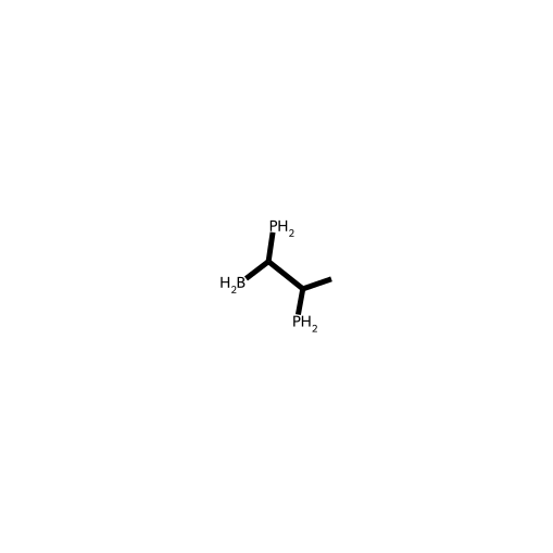 BC(P)C(C)P